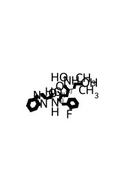 CC(C)(O)CC[C@H](C[C@H](O)[C@H](Cc1ccccc1F)NC(=O)c1cnc2ccccc2n1)C(=O)NO